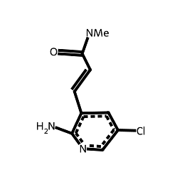 CNC(=O)C=Cc1cc(Cl)cnc1N